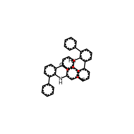 Fc1cc(Nc2c(-c3ccccc3)cccc2-c2ccccc2)c(Cl)c(Nc2c(-c3ccccc3)cccc2-c2ccccc2)c1